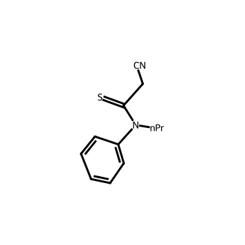 CCCN(C(=S)CC#N)c1ccccc1